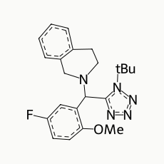 COc1ccc(F)cc1C(c1nnnn1C(C)(C)C)N1CCc2ccccc2C1